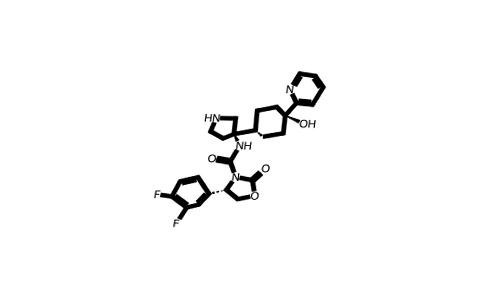 O=C(N[C@@]1([C@H]2CC[C@@](O)(c3ccccn3)CC2)CCNC1)N1C(=O)OC[C@@H]1c1ccc(F)c(F)c1